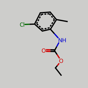 CCOC(=O)Nc1cc(Cl)ccc1C